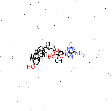 C#C[C@]1(CO)O[C@@H](n2cnc3c(N)nc(Cl)nc32)C[C@@H]1OC(=O)CC[C@@H](C)[C@H]1CC[C@H]2[C@@H]3CC[C@@H]4C[C@H](O)CC[C@]4(C)[C@H]3CC[C@]12C